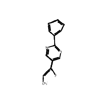 [CH2]/C=C(\F)c1cnc(-c2ccccc2)nc1